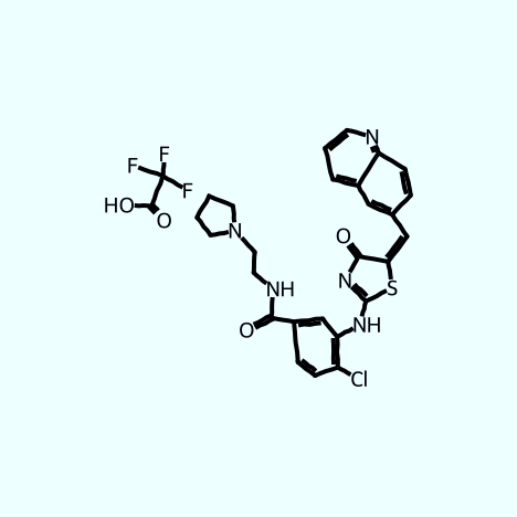 O=C(O)C(F)(F)F.O=C1N=C(Nc2cc(C(=O)NCCN3CCCC3)ccc2Cl)SC1=Cc1ccc2ncccc2c1